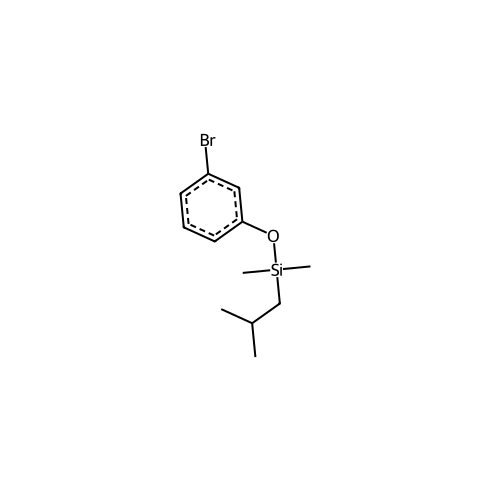 CC(C)C[Si](C)(C)Oc1cccc(Br)c1